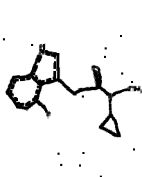 CN(C(=O)Cc1c[nH]c2cccc(F)c12)C1CC1